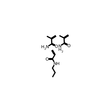 C=C(C)C(N)=O.C=C(C)C(N)=O.C=CC(=O)NCCC